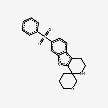 O=S(=O)(c1ccccc1)c1ccc2c3c(oc2c1)C1(CCCOC1)NCC3